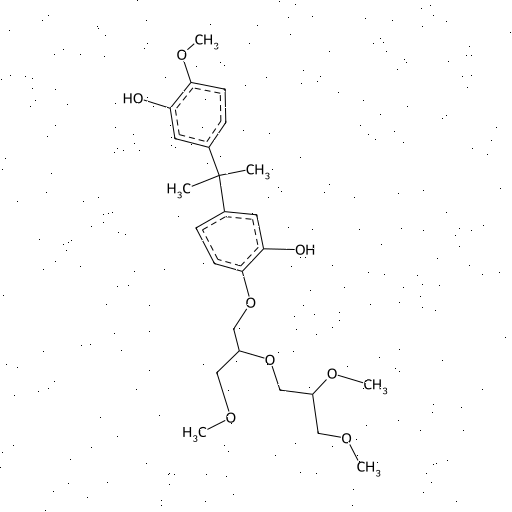 COCC(COC(COC)COc1ccc(C(C)(C)c2ccc(OC)c(O)c2)cc1O)OC